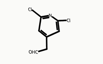 O=CCc1cc(Cl)nc(Cl)c1